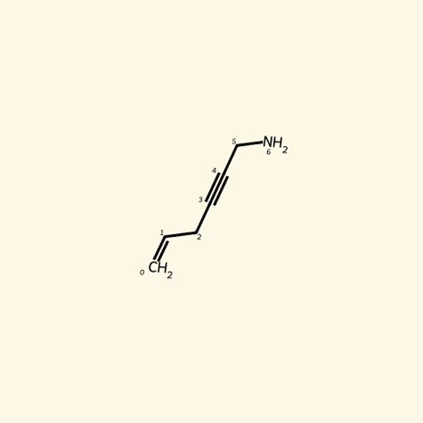 C=CCC#CCN